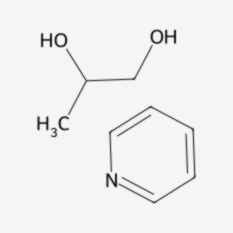 CC(O)CO.c1ccncc1